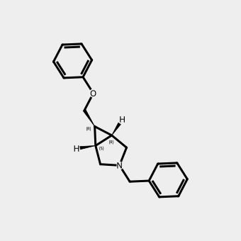 c1ccc(CN2C[C@@H]3[C@@H](COc4ccccc4)[C@@H]3C2)cc1